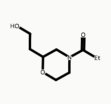 CCC(=O)N1CCOC(CCO)C1